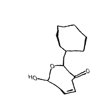 O=C1C=CC(O)OC1C1CCCCC1